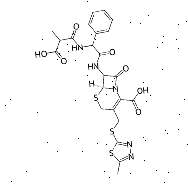 Cc1nnc(SCC2=C(C(=O)O)N3C(=O)C(NC(=O)C(NC(=O)C(C)C(=O)O)c4ccccc4)[C@@H]3SC2)s1